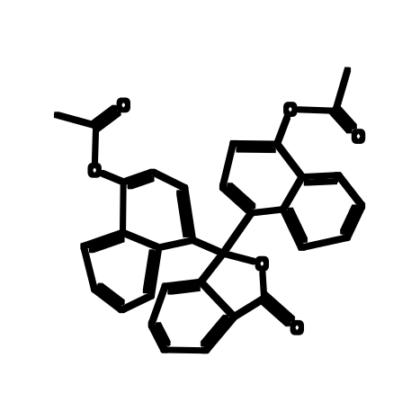 CC(=O)Oc1ccc(C2(c3ccc(OC(C)=O)c4ccccc34)OC(=O)c3ccccc32)c2ccccc12